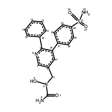 NC(=O)N(O)Cc1cnc(-c2ccccc2)c(-c2ccc(S(N)(=O)=O)cc2)c1